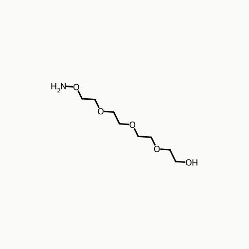 NOCCOCCOCCOCCO